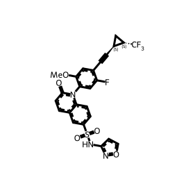 COc1cc(C#C[C@H]2C[C@@H]2C(F)(F)F)c(F)cc1-n1c(=O)ccc2cc(S(=O)(=O)Nc3ccon3)ccc21